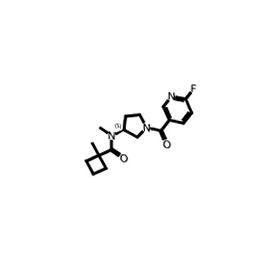 CN(C(=O)C1(C)CCC1)[C@H]1CCN(C(=O)c2ccc(F)nc2)C1